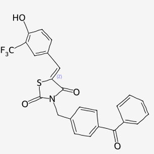 O=C(c1ccccc1)c1ccc(CN2C(=O)S/C(=C\c3ccc(O)c(C(F)(F)F)c3)C2=O)cc1